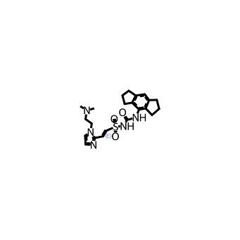 CN(C)CCn1ccnc1/C=C/S(=O)(=O)NC(=O)Nc1c2c(cc3c1CCC3)CCC2